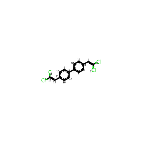 ClC(Cl)=Cc1ccc(-c2ccc(C=C(Cl)Cl)cc2)cc1